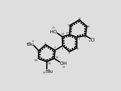 CC(C)(C)c1cc(-c2ccc3c(Cl)cccc3c2O)c(O)c(C(C)(C)C)c1